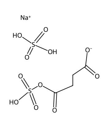 O=C([O-])CCC(=O)OS(=O)(=O)O.O=S(=O)(O)O.[Na+]